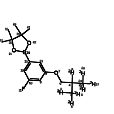 [2H]C([2H])([2H])C([2H])(COc1cc(F)cc(B2OC(C)(C)C(C)(C)O2)c1)C([2H])([2H])[2H]